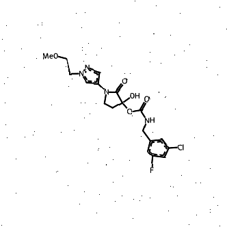 COCCn1cc(N2CCC(O)(OC(=O)NCc3cc(F)cc(Cl)c3)C2=O)cn1